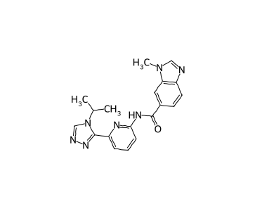 CC(C)n1cnnc1-c1cccc(NC(=O)c2ccc3ncn(C)c3c2)n1